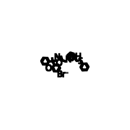 CC1(c2ncc(C[N+]34CCC(CC3)[C@H](CSc3ccccc3)C4)o2)c2ccccc2Oc2ccccc21.[Br-]